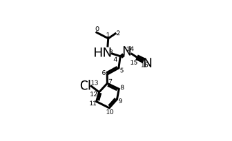 CC(C)NC(/C=C/c1ccccc1Cl)=N/C#N